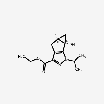 CCOC(=O)c1nn(C(C)C)c2c1C[C@H]1C[C@@H]21